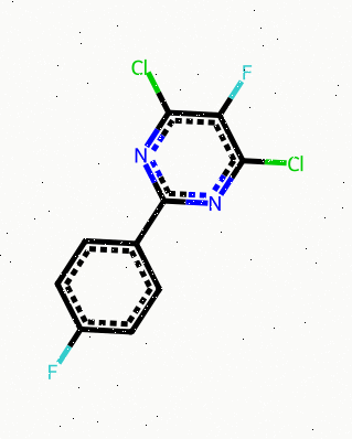 Fc1ccc(-c2nc(Cl)c(F)c(Cl)n2)cc1